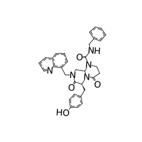 O=C1[C@H](Cc2ccc(O)cc2)N2C(=O)CCN(C(=O)NCc3ccccc3)C2CN1Cc1cccc2cccnc12